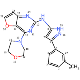 Cc1cccc(-c2cc(Nc3nc(N4CCOCC4)c4occc4n3)[nH]n2)c1